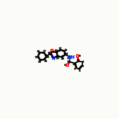 O=C1CC=CC=C1C(=O)Nc1ccc2oc(-c3ccccc3)nc2c1